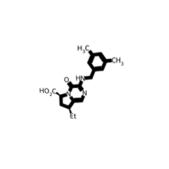 CC[C@H]1C[C@@H](C(=O)O)n2c1cnc(NCc1cc(C)cc(C)c1)c2=O